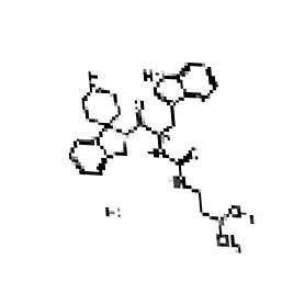 CN(C)CCNC(=O)N[C@H](Cc1c[nH]c2ccccc12)C(=O)C1Cc2ccccc2C12CCNCC2.Cl